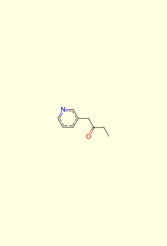 CCC(=O)Cc1cccnc1